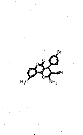 Cc1ccc2oc(=O)c3c(c2c1)OC(N)=C(C#N)C3c1ccc(Br)cc1